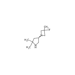 CC1(F)CN([C@H]2CNC(C)(C)C2)C1